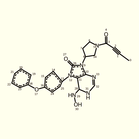 CC#CC(=O)N1CCC(n2c3c(n(-c4ccc(Oc5ccccc5)cc4)c2=O)C(NO)NC=N3)C1